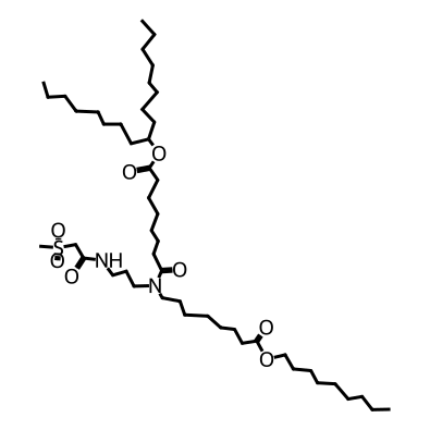 CCCCCCCCCOC(=O)CCCCCCCN(CCCNC(=O)CS(C)(=O)=O)C(=O)CCCCCCC(=O)OC(CCCCCCCC)CCCCCCCC